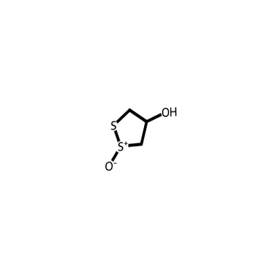 [O-][S+]1CC(O)CS1